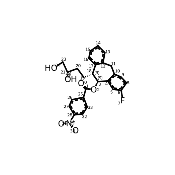 O=C(O[C@@H]1c2cc(F)ccc2Cc2ccccc2[C@H]1CC[C@H](O)CO)c1ccc([N+](=O)[O-])cc1